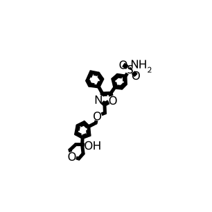 NS(=O)(=O)c1ccc(-c2oc(COCc3cccc(C4(O)CCOCC4)c3)nc2-c2ccccc2)cc1